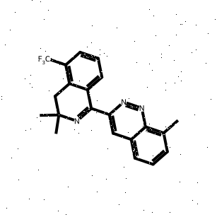 Cc1cccc2cc(C3=NC(C)(C)Cc4c3cccc4C(F)(F)F)nnc12